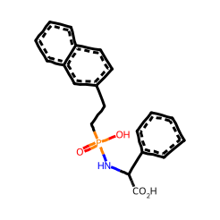 O=C(O)C(NP(=O)(O)CCc1ccc2ccccc2c1)c1ccccc1